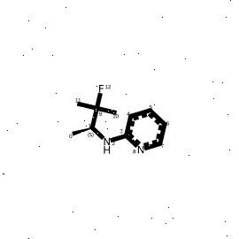 C[C@H](Nc1ccccn1)C(C)(C)F